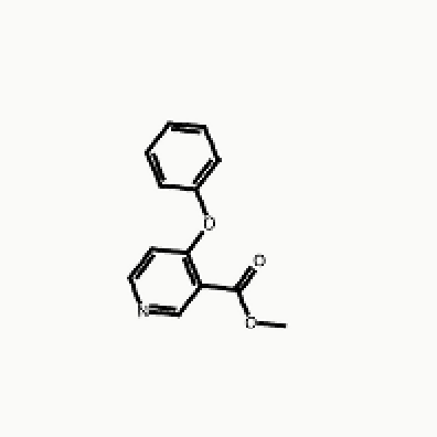 COC(=O)c1cnccc1Oc1ccccc1